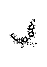 O=C(Cc1ccco1)N[C@@H]1C(=O)N2C(C(=O)O)=C(Sc3ccc4c(c3)oc3cc(CCl)ccc34)CS[C@H]12